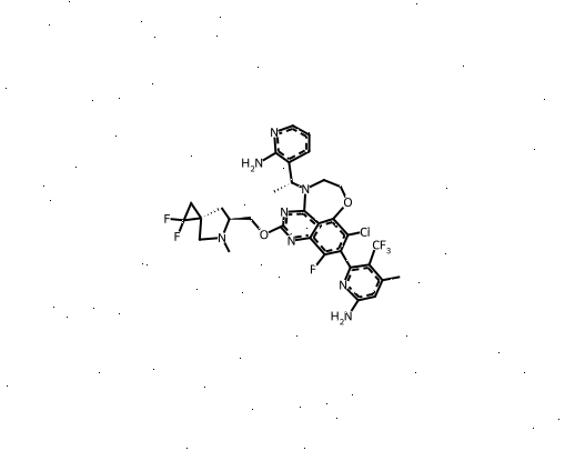 Cc1cc(N)nc(-c2c(Cl)c3c4c(nc(OC[C@@H]5C[C@@]6(CN5C)CC6(F)F)nc4c2F)N([C@H](C)c2cccnc2N)CCO3)c1C(F)(F)F